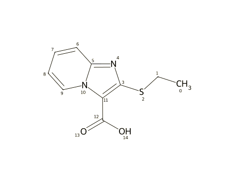 CCSc1nc2ccccn2c1C(=O)O